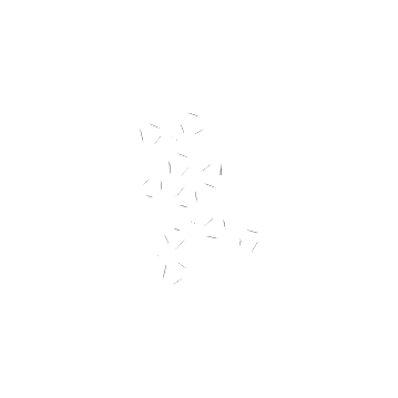 CC1(C)c2ccccc2-c2cc(N(c3ccc(-c4ccccc4)cc3)c3ccc(-c4ccc(N(c5ccccc5)c5ccccc5)cc4-c4ccccc4)c(-c4ccccc4)c3)ccc21